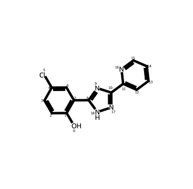 Oc1ccc(Cl)cc1-c1nc(-c2ccccn2)n[nH]1